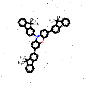 CC1(C)c2ccccc2-c2ccc(-c3ccc4c(c3)Oc3cc(-c5ccc6c(c5)C(C)(C)c5ccccc5-6)ccc3N4c3ccc4c(c3)C(C)(C)c3ccccc3-4)cc21